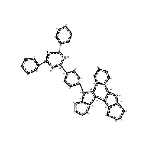 c1ccc(-c2nc(-c3ccccc3)nc(-c3ccc(-n4c5ccccc5c5c6c7ccccc7oc6c6ccccc6c54)cc3)n2)cc1